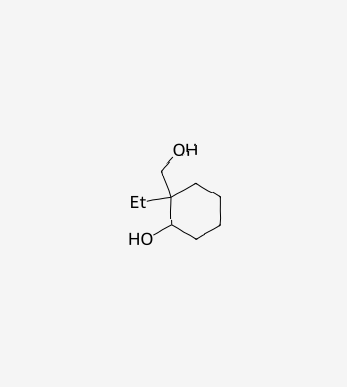 CCC1(CO)CCCCC1O